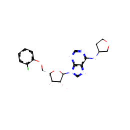 O[C@@H]1[C@H](O)C(n2cnc3c(NC4CCOC4)ncnc32)O[C@@H]1COc1ccccc1Cl